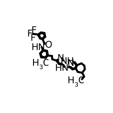 CCC1CCCc2cnc(Nc3cc(CCc4cc(NC(=O)c5cccc(C(F)(F)F)c5)ccc4C)n[nH]3)cc2C1